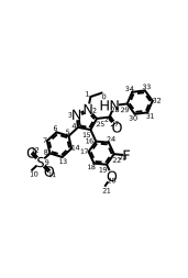 CCn1nc(-c2ccc(S(C)(=O)=O)cc2)c(-c2ccc(OC)c(F)c2)c1C(=O)Nc1ccccc1